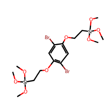 CO[Si](CCOc1cc(Br)c(OCC[Si](OC)(OC)OC)cc1Br)(OC)OC